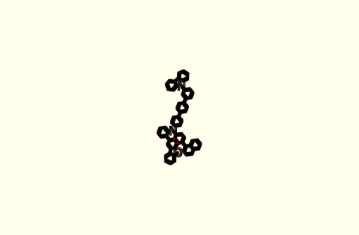 c1cc(-c2ccc(-c3ccc(N(c4ccc(-c5cccc6ccccc56)cc4)c4ccccc4-c4ccc5oc6ccccc6c5c4)cc3)cc2)cc(-n2c3ccccc3c3ccccc32)c1